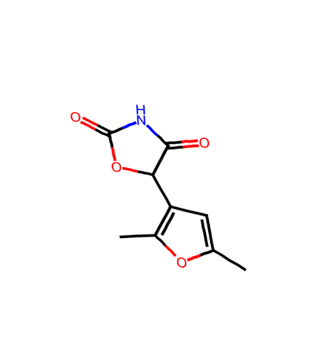 Cc1cc(C2OC(=O)NC2=O)c(C)o1